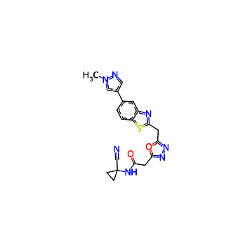 Cn1cc(-c2ccc3sc(Cc4nnc(CC(=O)NC5(C#N)CC5)o4)nc3c2)cn1